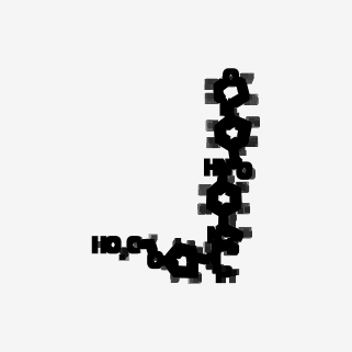 CC(C)N(c1ccc(OCC(=O)O)cc1)c1nc(-c2ccc(NC(=O)c3ccc(N4CCOCC4)cc3)cc2)cs1